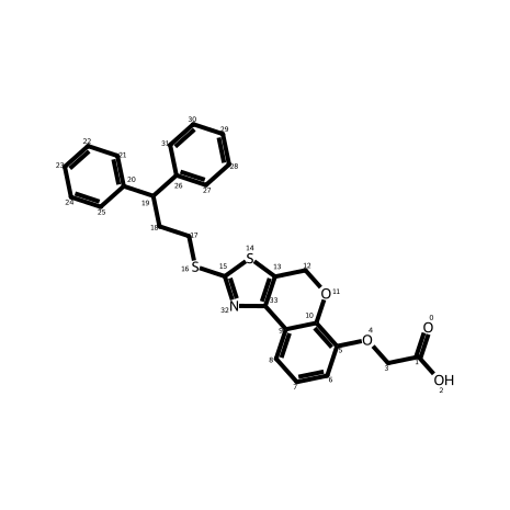 O=C(O)COc1cccc2c1OCc1sc(SCCC(c3ccccc3)c3ccccc3)nc1-2